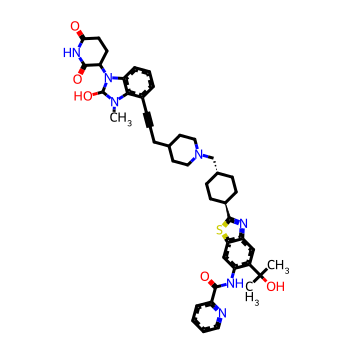 CN1c2c(C#CCC3CCN(C[C@H]4CC[C@H](c5nc6cc(C(C)(C)O)c(NC(=O)c7ccccn7)cc6s5)CC4)CC3)cccc2N(C2CCC(=O)NC2=O)C1O